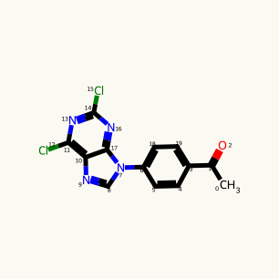 CC(=O)c1ccc(-n2cnc3c(Cl)nc(Cl)nc32)cc1